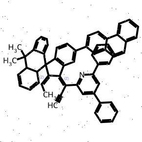 C#C/C(=C1\C(=C/C)C2(c3ccc(-c4ccc5c(ccc6ccccc65)c4)cc31)c1ccccc1C(C)(C)C1C=CC=CC12)c1cc(-c2ccccc2)cc(-c2ccccc2)n1